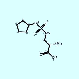 N[C@@H](CNS(=O)(=O)NC1CCCC1)C(=O)O